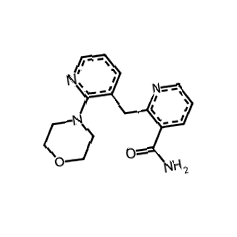 NC(=O)c1cccnc1Cc1cccnc1N1CCOCC1